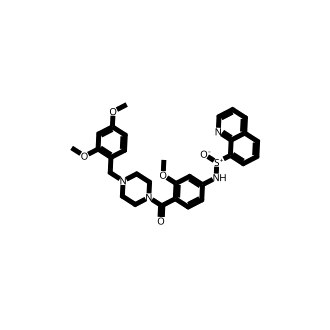 COc1ccc(CN2CCN(C(=O)c3ccc(N[S+]([O-])c4cccc5cccnc45)cc3OC)CC2)c(OC)c1